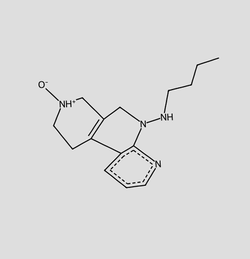 CCCCNN1CC2=C(CC[NH+]([O-])C2)c2cccnc21